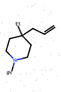 C=CCC1(CC)CCN(C(C)C)CC1